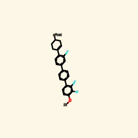 CCCCCC1CC=C(c2ccc(-c3ccc(-c4ccc(OCC)c(F)c4F)cc3)cc2F)CC1